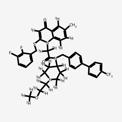 [2H]c1c(C)c([2H])c2c(=O)c([2H])c(SCc3cccc(F)c3F)n(C([2H])([2H])C(=O)N(Cc3ccc(-c4ccc(C(F)(F)F)cc4)cc3)C3([2H])C([2H])([2H])C([2H])([2H])N(C([2H])([2H])C([2H])([2H])OC([2H])([2H])[2H])C([2H])([2H])C3([2H])[2H])c2c1[2H]